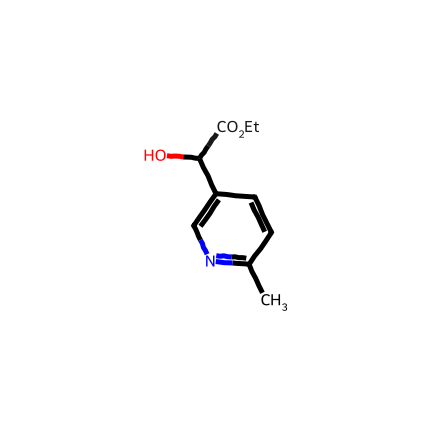 CCOC(=O)C(O)c1ccc(C)nc1